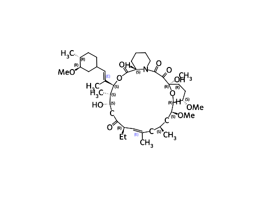 CC[C@@H]1/C=C(\C)C[C@H](C)C[C@H](OC)[C@H]2O[C@@](O)(C(=O)C(=O)N3CCCC[C@H]3C(=O)O[C@H](/C(C)=C/C3CC[C@@H](C)[C@H](OC)C3)[C@@H](C)[C@@H](O)CC1=O)[C@H](C)C[C@@H]2OC